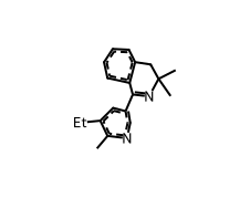 CCc1cc(C2=NC(C)(C)Cc3ccccc32)cnc1C